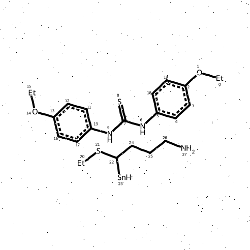 CCOc1ccc(NC(=S)Nc2ccc(OCC)cc2)cc1.CCS[CH]([SnH])CCCN